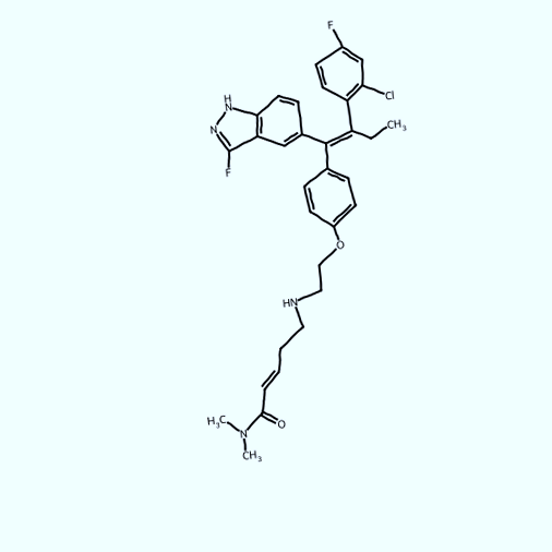 CCC(=C(c1ccc(OCCNCCC=CC(=O)N(C)C)cc1)c1ccc2[nH]nc(F)c2c1)c1ccc(F)cc1Cl